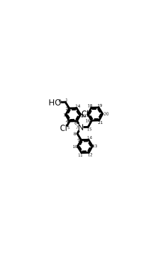 OCc1cc(Cl)c(N(Cc2ccccc2)Cc2ccccc2)c(Cl)c1